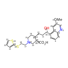 COc1cnc2cccc([C@@H](O)CC[C@@H]3CCN(CCSc4cccs4)C[C@@H]3C(=O)O)c2c1